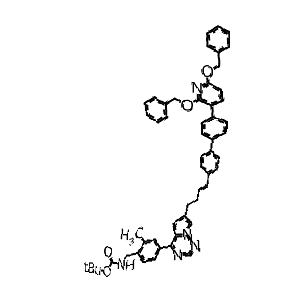 Cc1cc(-c2ncnn3cc(CC/C=C/c4ccc(-c5ccc(-c6ccc(OCc7ccccc7)nc6OCc6ccccc6)cc5)cc4)cc23)ccc1CNC(=O)OC(C)(C)C